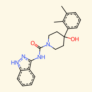 Cc1cccc(C2(O)CCN(C(=O)Nc3n[nH]c4ccccc34)CC2)c1C